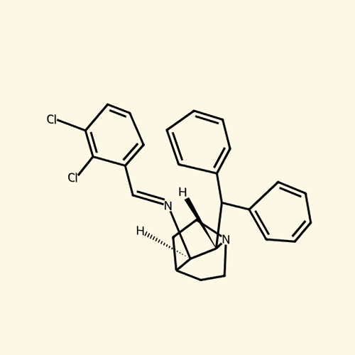 Clc1cccc(/C=N/[C@@H]2C3CCN(CC3)[C@H]2C(c2ccccc2)c2ccccc2)c1Cl